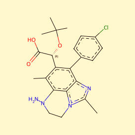 Cc1c([C@@H](OC(C)(C)C)C(=O)O)c(-c2ccc(Cl)cc2)c2nc(C)n3c2c1N(N)CC3